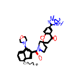 COc1cccc2c(N3CCOCC3)cc(C(=O)N3CCC4(CC3)CC(=O)c3cc(-c5nnn[nH]5)ccc3O4)cc12